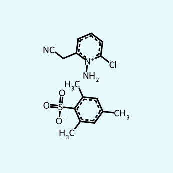 Cc1cc(C)c(S(=O)(=O)[O-])c(C)c1.N#CCc1cccc(Cl)[n+]1N